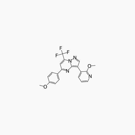 COc1ccc(-c2cc(C(F)(F)F)n3ncc(-c4cccnc4OC)c3n2)cc1